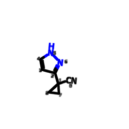 N#CC1(c2cc[nH]n2)CC1